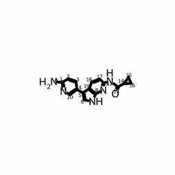 Nc1ccc(-c2c[nH]c3nc(NC(=O)C4CC4)ccc23)cn1